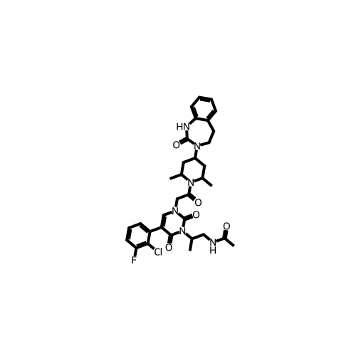 CC(=O)NCC(C)n1c(=O)c(-c2cccc(F)c2Cl)cn(CC(=O)N2C(C)CC(N3CCc4ccccc4NC3=O)CC2C)c1=O